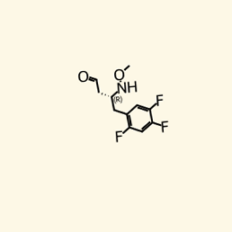 CON[C@@H](CC=O)Cc1cc(F)c(F)cc1F